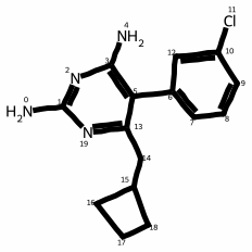 Nc1nc(N)c(-c2cccc(Cl)c2)c(CC2CCC2)n1